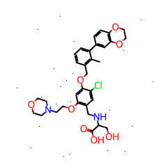 Cc1c(COc2cc(OCCN3CCOCC3)c(CNC(CO)C(=O)O)cc2Cl)cccc1-c1ccc2c(c1)OCCO2